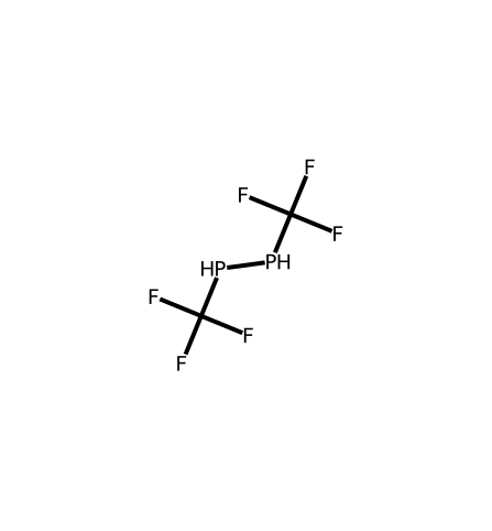 FC(F)(F)PPC(F)(F)F